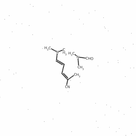 CC(C#N)=CC=CN(C)C.CN(C)C=O